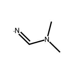 CN(C)C=[N]